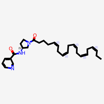 CC/C=C\C/C=C\C/C=C\C/C=C\C/C=C\CCCC(=O)N1CC[C@H](NC(=O)c2cccnc2)C1